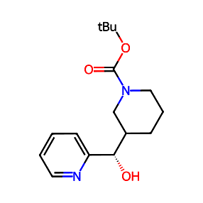 CC(C)(C)OC(=O)N1CCCC([C@H](O)c2ccccn2)C1